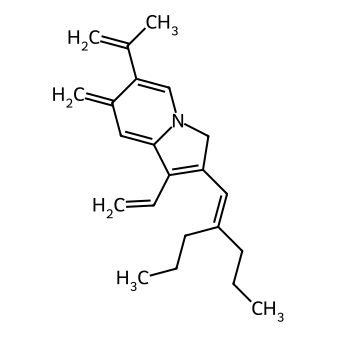 C=CC1=C(C=C(CCC)CCC)CN2C=C(C(=C)C)C(=C)C=C12